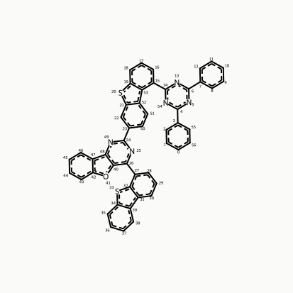 c1ccc(-c2nc(-c3ccccc3)nc(-c3cccc4sc5cc(-c6nc(-c7cccc8c7sc7ccccc78)c7oc8ccccc8c7n6)ccc5c34)n2)cc1